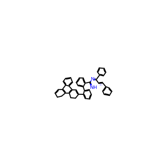 N=C(/N=C(\C=C\c1ccccc1)c1ccccc1)c1ccccc1-c1ccccc1C1=Cc2c(c3c(c4ccccc24)C=CCC3)CC1